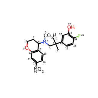 CC(C)(CN(C(=O)O)C1CCOc2cc([N+](=O)[O-])ccc21)c1ccc(F)c(O)c1